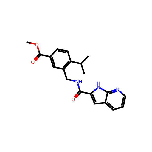 COC(=O)c1ccc(C(C)C)c(CNC(=O)c2cc3cccnc3[nH]2)c1